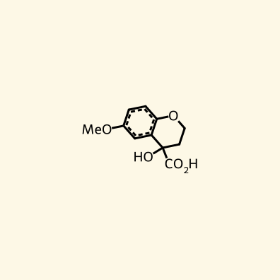 COc1ccc2c(c1)C(O)(C(=O)O)CCO2